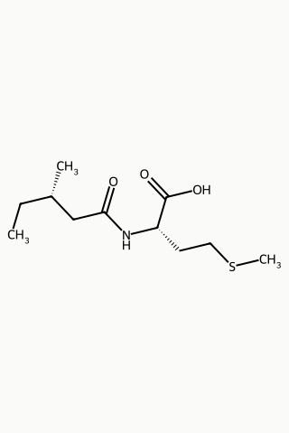 CC[C@H](C)CC(=O)N[C@@H](CCSC)C(=O)O